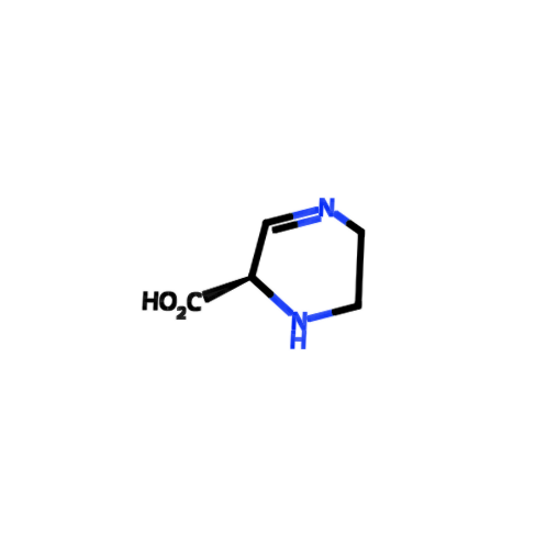 O=C(O)[C@H]1C=NCCN1